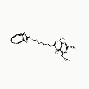 CSc1cc(C)nc(SC)c1NC(=O)CCCCCCCSc1nc2ccccc2o1